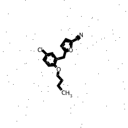 CCCCOc1ccc(Cl)cc1Cc1ccc(C#N)o1